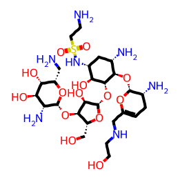 NCCS(=O)(=O)N[C@@H]1C[C@H](N)[C@@H](O[C@H]2OC(CNCCO)=CC[C@H]2N)[C@H](O[C@@H]2O[C@H](CO)[C@@H](O[C@H]3O[C@@H](CN)[C@@H](O)[C@H](O)[C@H]3N)[C@H]2O)[C@H]1O